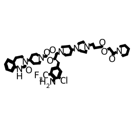 Nc1c(Cl)cc(C[C@@H](OC(=O)N2CCC(N3CCc4ccccc4NC3=O)CC2)C(=O)N2CCC(N3CCN(CCC(=O)OCC(=O)N4CCCCC4)CC3)CC2)cc1C(F)(F)F